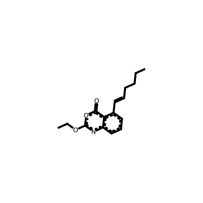 CCCC/C=C/c1cccc2nc(OCC)oc(=O)c12